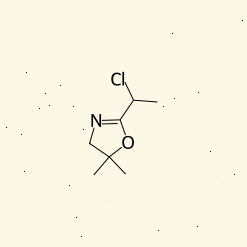 CC(Cl)C1=NCC(C)(C)O1